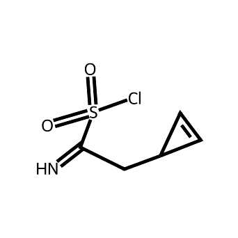 N=C(CC1C=C1)S(=O)(=O)Cl